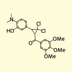 COc1cc(C(=O)C2C(c3ccc(N(C)C)c(O)c3)C2(Cl)Cl)cc(OC)c1OC